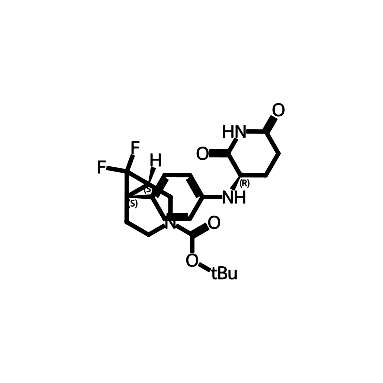 CC(C)(C)OC(=O)N1CC[C@@]2(c3ccc(N[C@@H]4CCC(=O)NC4=O)cc3)[C@@H](C1)C2(F)F